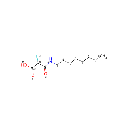 CCCCCCCCNC(=O)C(F)C(=O)O